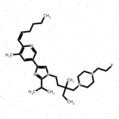 CCCC/C=C\c1ncc(-c2cn(CCC(C)(CC)CN3CCN(CCF)CC3)c(C(C)C)n2)cc1C